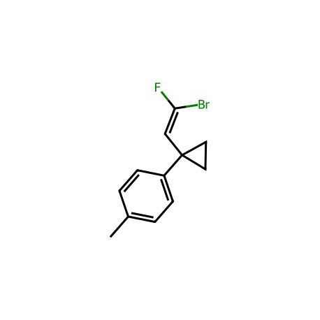 Cc1ccc(C2(C=C(F)Br)CC2)cc1